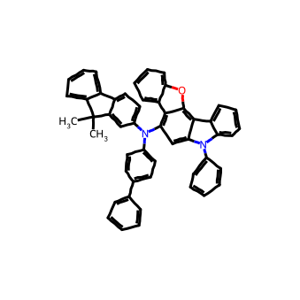 CC1(C)c2ccccc2-c2ccc(N(c3ccc(-c4ccccc4)cc3)c3cc4c(c5ccccc5n4-c4ccccc4)c4oc5ccccc5c34)cc21